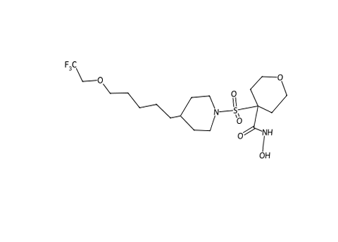 O=C(NO)C1(S(=O)(=O)N2CCC(CCCCCOCC(F)(F)F)CC2)CCOCC1